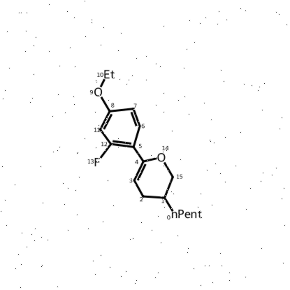 CCCCCC1CC=C(c2ccc(OCC)cc2F)OC1